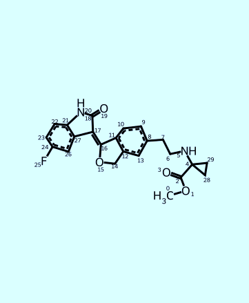 COC(=O)C1(NCCc2ccc3c(c2)COC3=C2C(=O)Nc3ccc(F)cc32)CC1